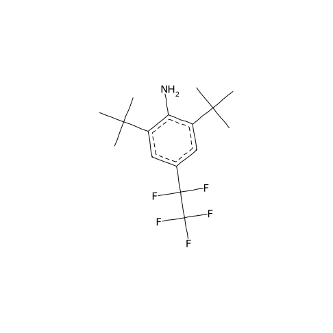 CC(C)(C)c1cc(C(F)(F)C(F)(F)F)cc(C(C)(C)C)c1N